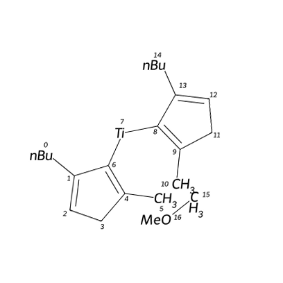 CCCCC1=CCC(C)=[C]1[Ti][C]1=C(C)CC=C1CCCC.COC